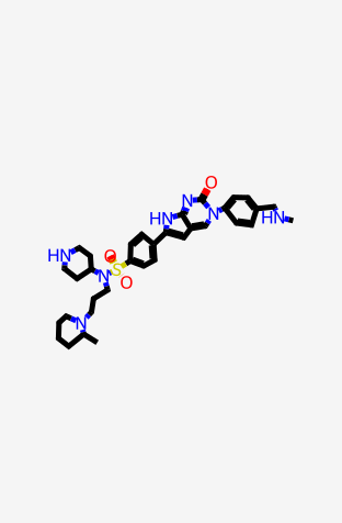 CNCc1ccc(-n2cc3cc(-c4ccc(S(=O)(=O)N(CCCN5CCCCC5C)C5CCNCC5)cc4)[nH]c3nc2=O)cc1